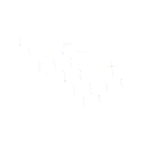 CC(=O)COc1ccc(-n2c(-n3nc(C)cc3C)nc3c(c2=O)CC(C)N(C(=O)c2ccc(Br)c(C(F)(F)F)c2)C3)cc1